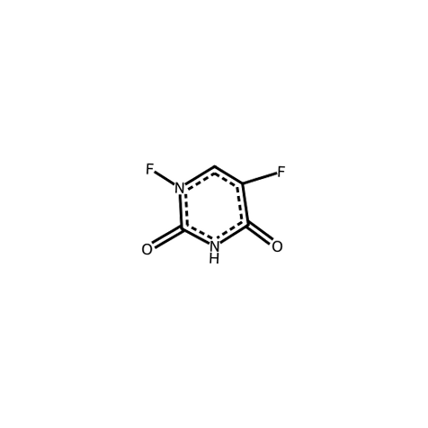 O=c1[nH]c(=O)n(F)cc1F